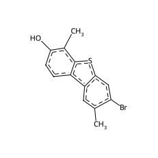 Cc1cc2c(cc1Br)sc1c(C)c(O)ccc12